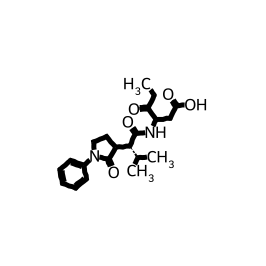 CCC(=O)C(CC(=O)O)NC(=O)[C@H](C(C)C)C1CCN(c2ccccc2)C1=O